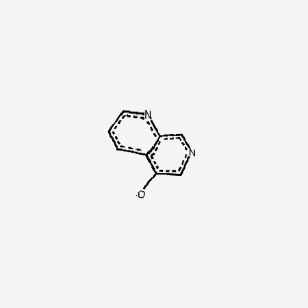 [O]c1cncc2ncccc12